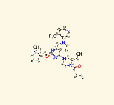 C=CC(=O)N1CCN(c2nc(OC[C@@H]3CCCN3C)nc3c2CCN(c2cnccc2C(F)(F)F)C3)CC1CC#N